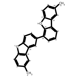 Cc1ccc2oc3ccc(-c4cccc5c4oc4ccc(C)cc45)cc3c2c1